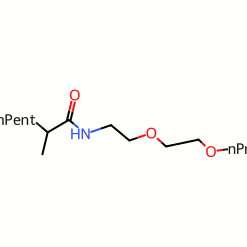 CCCCCC(C)C(=O)NCCOCCOCCC